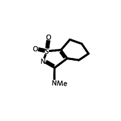 CNC1=NS(=O)(=O)C2=C1CCCC2